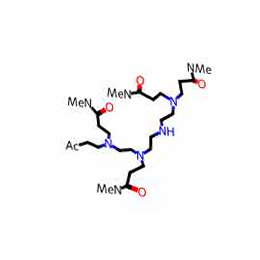 CNC(=O)CCN(CCNCCN(CCC(=O)NC)CCN(CCC(C)=O)CCC(=O)NC)CCC(=O)NC